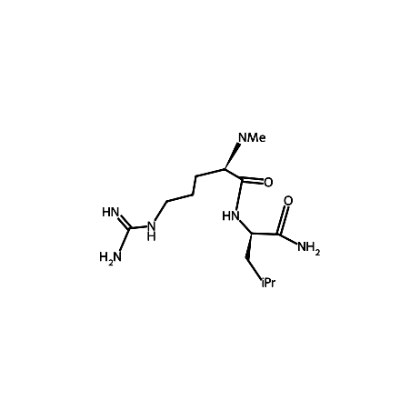 CN[C@H](CCCNC(=N)N)C(=O)N[C@H](CC(C)C)C(N)=O